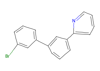 Brc1cccc(-c2cccc(-c3ccccn3)c2)c1